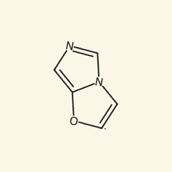 [c]1cn2cncc2o1